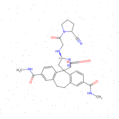 CNC(=O)c1ccc2c(c1)CCc1cc(C(=O)NC)ccc1C21C[C@@H](NCC(=O)N2CCCC2C#N)n2oc(=O)nc21